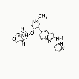 Cc1cc(-c2ccn3nc(Nc4cccnn4)cc3c2)c(OC2C[C@H]3COC[C@@H](C2)N3)cn1